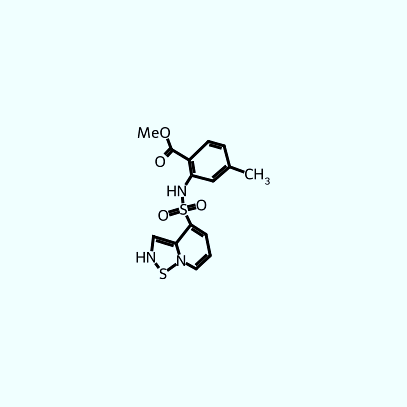 COC(=O)c1ccc(C)cc1NS(=O)(=O)C1=CC=CN2SNC=C12